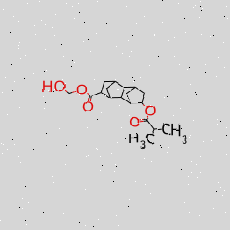 CC(C)C(=O)OC1CC2CC1C1C3CC(CC3C(=O)OCO)C21